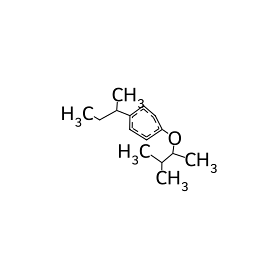 CCC(C)c1ccc(OC(C)C(C)C)cc1